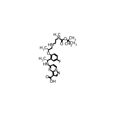 C[C@@H](CNCCN(C)C(=O)OC(C)(C)C)Oc1ccc(F)cc1[C@@H](C)Nc1ccn2ncc(C(=O)O)c2n1